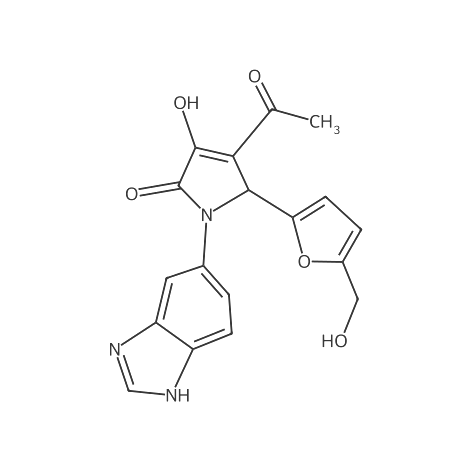 CC(=O)C1=C(O)C(=O)N(c2ccc3[nH]cnc3c2)C1c1ccc(CO)o1